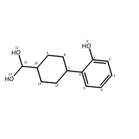 Oc1ccccc1C1CCC(C(O)O)CC1